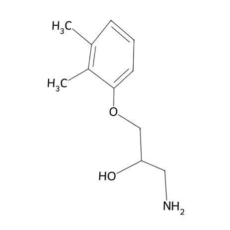 Cc1cccc(OCC(O)CN)c1C